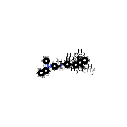 [2H]/C(=C(/[2H])c1ccc(N(c2ccccc2)c2ccc3ccccc3c2)cc1)c1ccc(-c2ccc3c(C(C)(C)C)c4ccccc4c(C(C)(C)C)c3c2)cc1